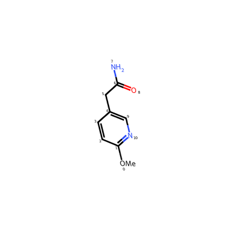 COc1ccc(CC(N)=O)cn1